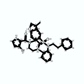 Cc1coc2ccc(S(=O)(=O)N(CCc3ccccc3)c3ccccc3N3CCN(C(=O)c4sccc4Br)CC3)cc12